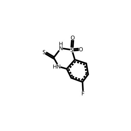 O=S1(=O)NC(=S)Nc2cc(F)ccc21